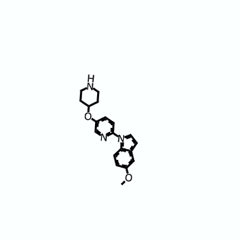 COc1ccc2c(ccn2-c2ccc(OC3CCNCC3)cn2)c1